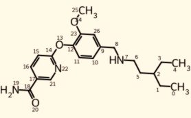 CCC(CC)CCNCc1ccc(Oc2ccc(C(N)=O)cn2)c(OC)c1